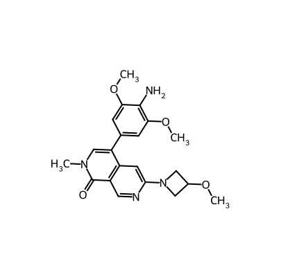 COc1cc(-c2cn(C)c(=O)c3cnc(N4CC(OC)C4)cc23)cc(OC)c1N